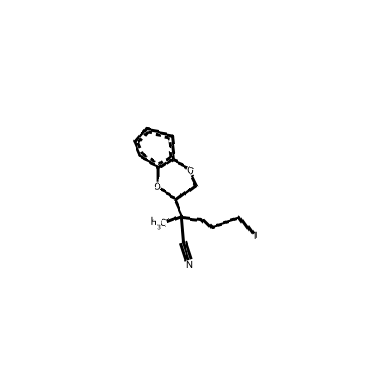 CC(C#N)(CCCI)C1COc2ccccc2O1